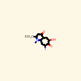 CCOC(=O)c1cc(=O)c2cc(O)c(=O)c(I)cc2n1C